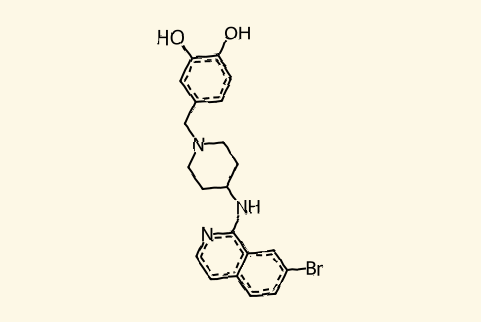 Oc1ccc(CN2CCC(Nc3nccc4ccc(Br)cc34)CC2)cc1O